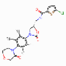 [2H]c1c([2H])c(N2C[C@H](CNC(=O)c3ccc(Cl)s3)OC2=O)c([2H])c([2H])c1N1CCOCC1=O